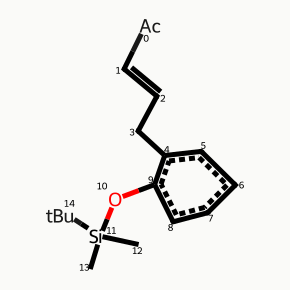 CC(=O)C=CCc1ccccc1O[Si](C)(C)C(C)(C)C